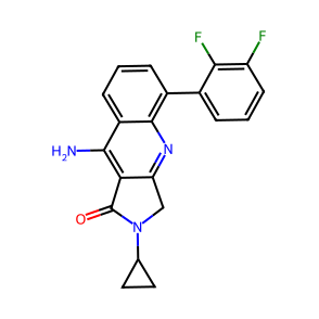 Nc1c2c(nc3c(-c4cccc(F)c4F)cccc13)CN(C1CC1)C2=O